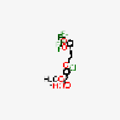 CCOC(Cc1ccc(OCC=CC#Cc2cccc(OC(F)(F)F)c2OC(F)(F)F)c(Cl)c1)C(=O)O